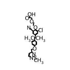 CSc1nccc(COc2ccc(C(C)(C)c3cc(Cl)c(OCCOCC(=O)O)c(C#N)c3)cc2)n1